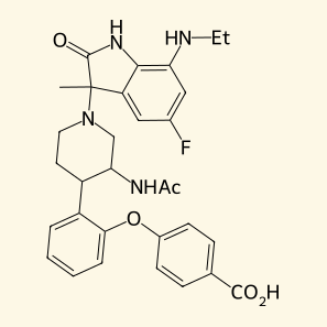 CCNc1cc(F)cc2c1NC(=O)C2(C)N1CCC(c2ccccc2Oc2ccc(C(=O)O)cc2)C(NC(C)=O)C1